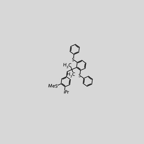 CSc1cc(CC(C)(C)c2c(Sc3ccccc3)cccc2Sc2ccccc2)ccc1C(C)C